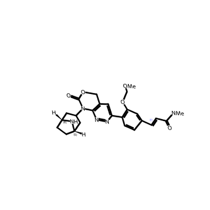 CNC(=O)/C=C/c1ccc(-c2cc3c(nn2)N(C2C[C@H]4CC[C@@H](C2)N4)C(=O)OC3)c(OCOC)c1